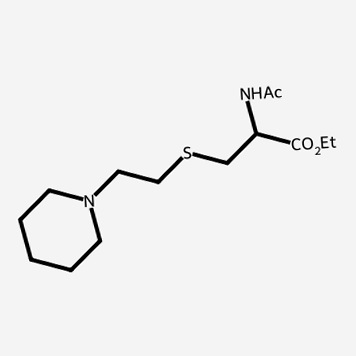 CCOC(=O)C(CSCCN1CCCCC1)NC(C)=O